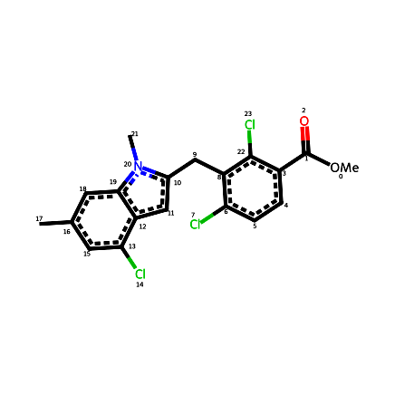 COC(=O)c1ccc(Cl)c(Cc2cc3c(Cl)cc(C)cc3n2C)c1Cl